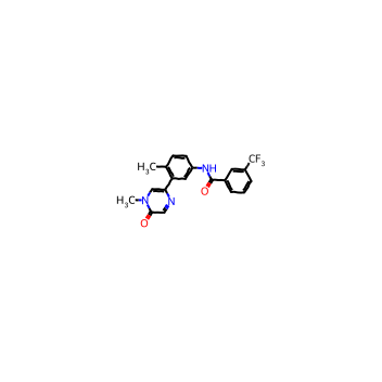 Cc1ccc(NC(=O)c2cccc(C(F)(F)F)c2)cc1-c1cn(C)c(=O)cn1